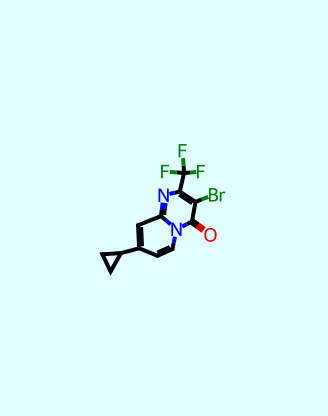 O=c1c(Br)c(C(F)(F)F)nc2cc(C3CC3)ccn12